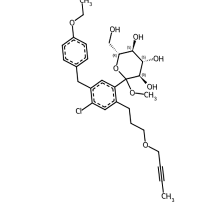 CC#CCOCCCc1cc(Cl)c(Cc2ccc(OCC)cc2)cc1C1(OC)O[C@H](CO)[C@@H](O)[C@H](O)[C@H]1O